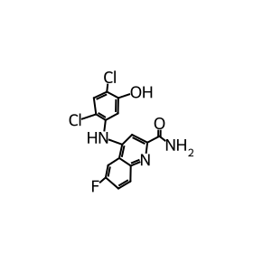 NC(=O)c1cc(Nc2cc(O)c(Cl)cc2Cl)c2cc(F)ccc2n1